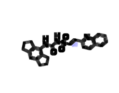 O=C(Nc1c2c(cc3c1CCC3)CCC2)NS(=O)(=O)/C=C/c1ccc2ccccc2n1